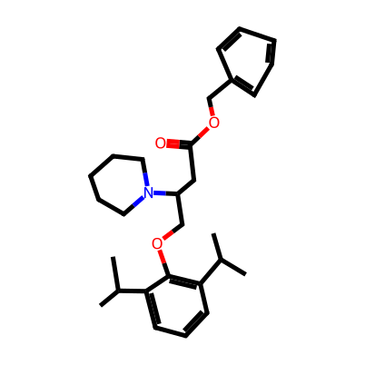 CC(C)c1cccc(C(C)C)c1OCC(CC(=O)OCc1ccccc1)N1CCCCC1